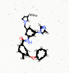 CNC1CCN(Cc2cc(NC(=O)c3ccc(C)c(Oc4ccccc4)c3)cc(-n3cnc(C)c3)c2)C1